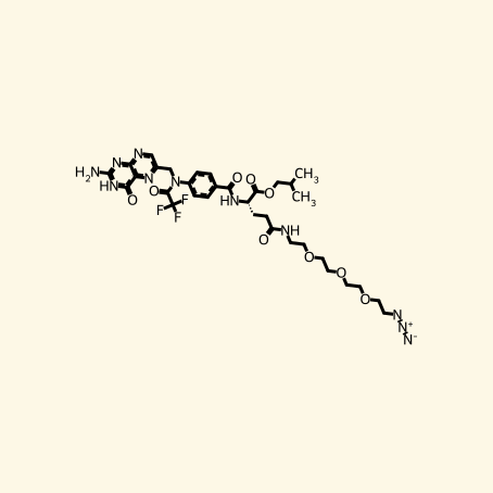 CC(C)COC(=O)[C@H](CCC(=O)NCCOCCOCCOCCN=[N+]=[N-])NC(=O)c1ccc(N(Cc2cnc3nc(N)[nH]c(=O)c3n2)C(=O)C(F)(F)F)cc1